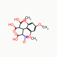 COc1cc(OC)c(C(C(C(=O)O)C(=O)O)C(C(=O)O)[N+](=O)[O-])c(OC)c1